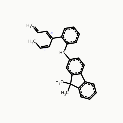 C=C/C=C(\C=C/C)c1ccccc1Nc1ccc2c(c1)C(C)(C)c1ccccc1-2